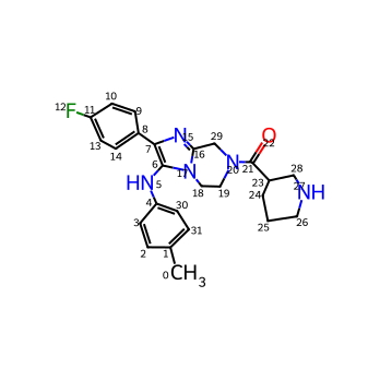 Cc1ccc(Nc2c(-c3ccc(F)cc3)nc3n2CCN(C(=O)C2CCCNC2)C3)cc1